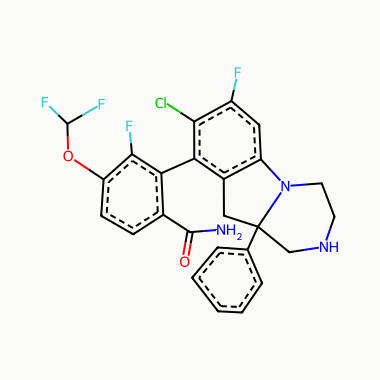 NC(=O)c1ccc(OC(F)F)c(F)c1-c1c(Cl)c(F)cc2c1CC1(c3ccccc3)CNCCN21